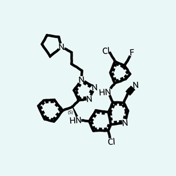 N#Cc1cnc2c(Cl)cc(N[C@@H](c3ccccc3)c3cn(CCCN4CCCC4)nn3)cc2c1Nc1ccc(F)c(Cl)c1